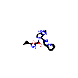 O=C(c1nnc(C2CC2)o1)N1CCc2[nH]cnc2C1c1cc2ccccn2n1